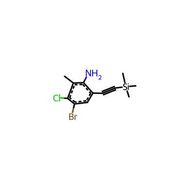 Cc1c(N)c(C#C[Si](C)(C)C)cc(Br)c1Cl